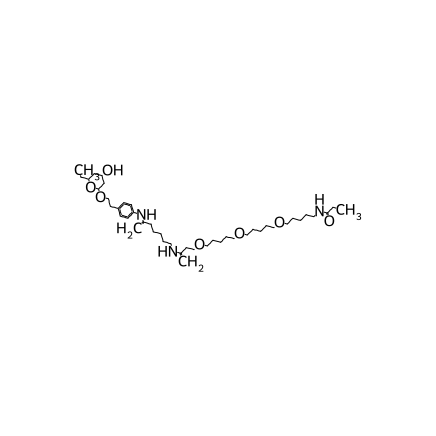 C=C(CCOCCCCCOCCCCCOCCCCCNC(=O)CC)NCCCCCC(=C)Nc1ccc(CCOC2CC(O)CC(CC)O2)cc1